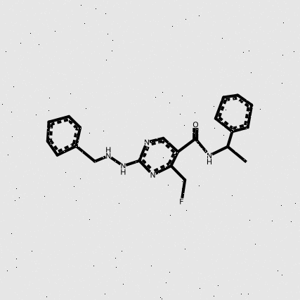 CC(NC(=O)c1cnc(NNCc2ccccc2)nc1CF)c1ccccc1